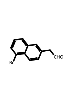 O=CCc1ccc2c(Br)cccc2c1